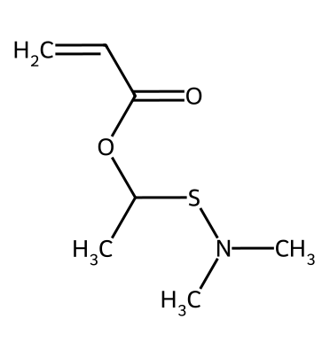 C=CC(=O)OC(C)SN(C)C